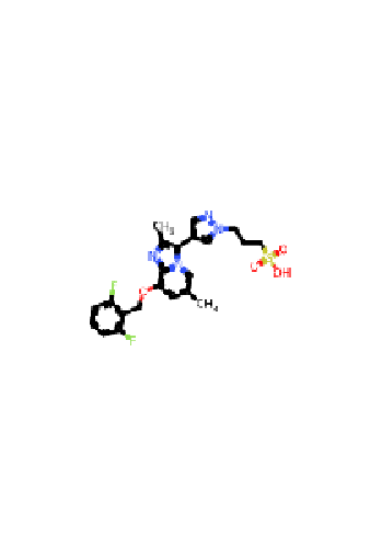 Cc1cc(OCc2c(F)cccc2F)c2nc(C)c(-c3cnn(CCCS(=O)(=O)O)c3)n2c1